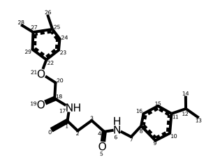 C=C(CCC(=O)NCc1ccc(C(C)C)cc1)NC(=O)COc1ccc(C)c(C)c1